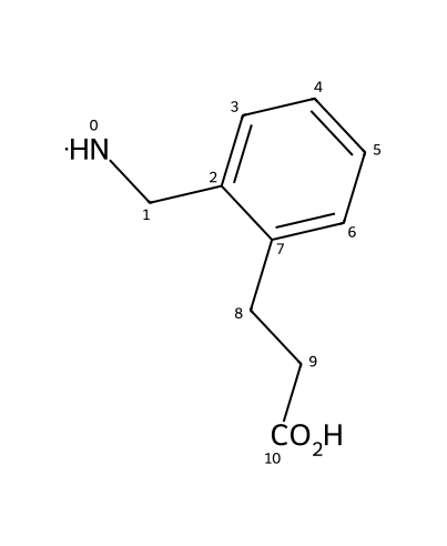 [NH]Cc1ccccc1CCC(=O)O